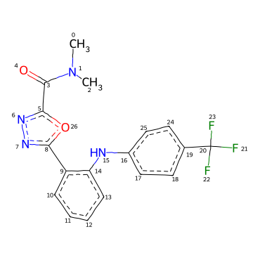 CN(C)C(=O)c1nnc(-c2ccccc2Nc2ccc(C(F)(F)F)cc2)o1